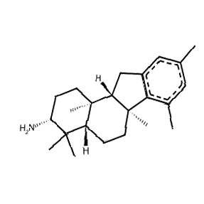 Cc1cc(C)c2c(c1)C[C@H]1[C@]3(C)CC[C@@H](N)C(C)(C)[C@H]3CC[C@]21C